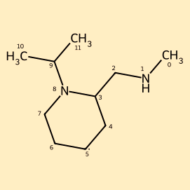 CNCC1C[CH]CCN1C(C)C